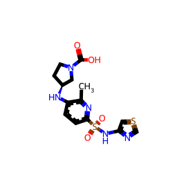 Cc1nc(S(=O)(=O)Nc2cscn2)ccc1N[C@H]1CCN(C(=O)O)C1